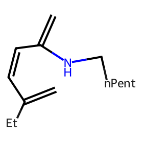 C=C(/C=C\C(=C)NCCCCCC)CC